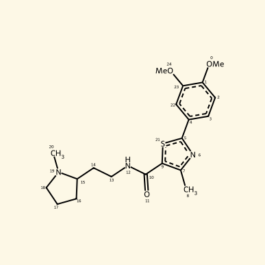 COc1ccc(-c2nc(C)c(C(=O)NCCC3CCCN3C)s2)cc1OC